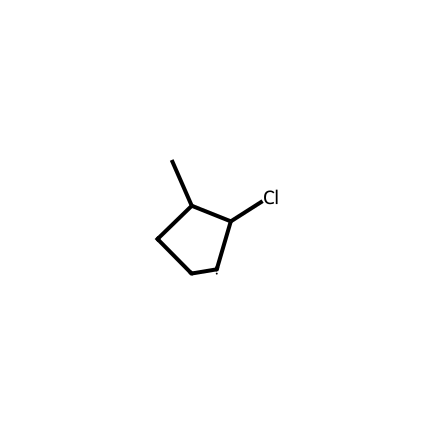 CC1CC[CH]C1Cl